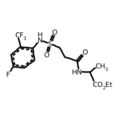 CCOC(=O)C(C)NC(=O)CCS(=O)(=O)Nc1ccc(F)cc1C(F)(F)F